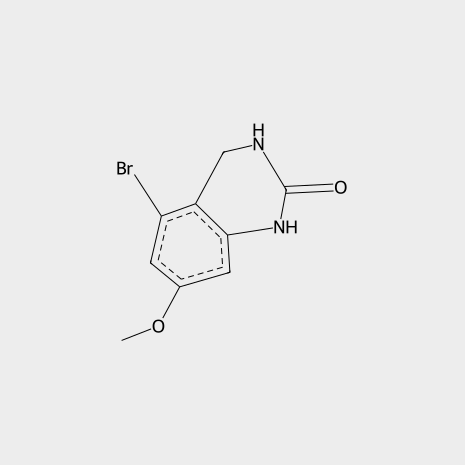 COc1cc(Br)c2c(c1)NC(=O)NC2